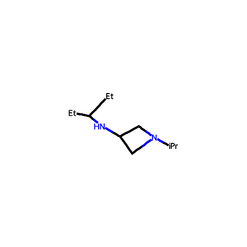 CCC(CC)NC1CN(C(C)C)C1